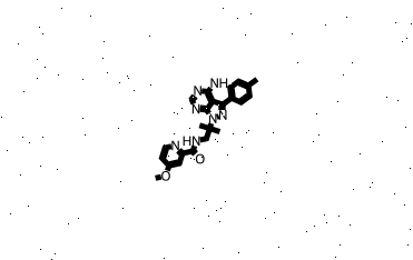 COc1ccnc(C(=O)NCC(C)(C)n2nc(-c3ccc(C)cc3)c3c(N)ncnc32)c1